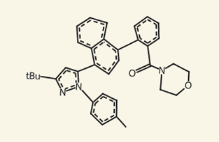 Cc1ccc(-n2nc(C(C)(C)C)cc2-c2ccc(-c3ccccc3C(=O)N3CCOCC3)c3ccccc23)cc1